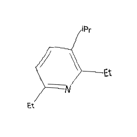 CCc1ccc(C(C)C)c(CC)n1